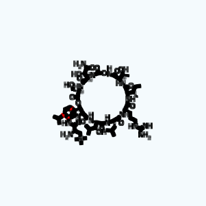 CC[C@H](C)C1NC(=O)[C@@H](CCCNC(=N)N)NC(=O)[C@H](CC(C)C)NC(=O)[C@H]([C@H](O)C(C)C)NC(=O)[C@@H](NC(=O)[C@H](CC(C)C)NC(=O)[C@H](N)C[Si](C)(C)C)[C@@H](c2ccccc2)OC(=O)[C@H](CO)NC(=O)[C@H]([C@H](O)C(N)=O)NC(=O)CNC(=O)C([C@H](C)O)NC1=O